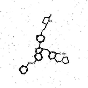 COc1cc(Cc2c(-c3ccc(OCC4CCC(=O)N4)cc3)sc3cc(OCc4ccccc4)ccc23)ccc1CN1CCCC1